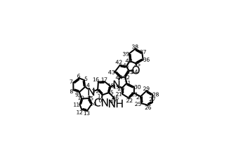 N#Cc1c(-n2c3ccccc3c3ccccc32)ccc(-n2c3ccc(-c4ccccc4)cc3c3c4oc5ccccc5c4ccc32)c1C=N